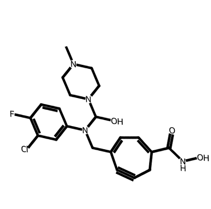 CN1CCN(C(O)N(CC2=CC=C(C(=O)NO)CC#C2)c2ccc(F)c(Cl)c2)CC1